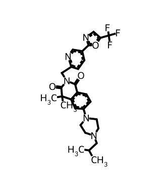 CC(C)CN1CCN(c2ccc3c(c2)C(C)(C)C(=O)N(Cc2ccc(-c4ncc(C(F)(F)F)o4)cn2)C3=O)CC1